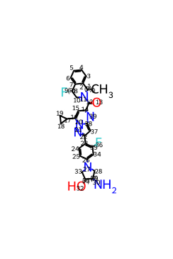 C[C@@H]1c2ccccc2[C@@H](F)CN1C(=O)c1cc(C2CC2)n2nc(-c3ccc(N4C[C@@H](N)[C@H](O)C4)cc3F)cc2n1